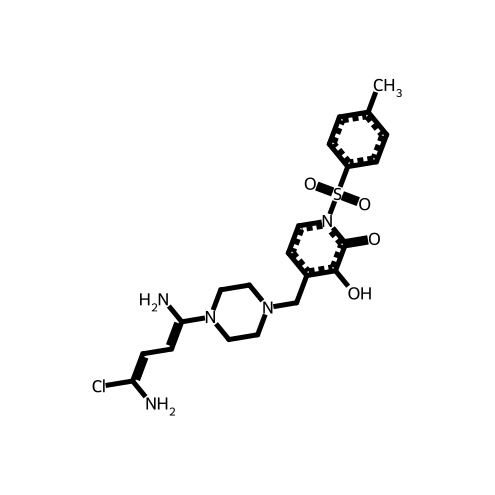 Cc1ccc(S(=O)(=O)n2ccc(CN3CCN(/C(N)=C/C=C(\N)Cl)CC3)c(O)c2=O)cc1